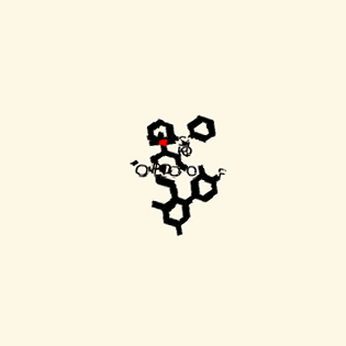 COP(=O)(C=Cc1c(C)cc(C)cc1-c1ccc(F)c(C)c1)CC([C@H](O[SiH](c1ccccc1)c1ccccc1)C(=O)O)C(C)(C)C